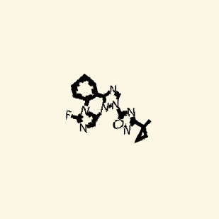 CC1(c2noc(N3C=NC4c5ccccc5-n5c(cnc5F)N43)n2)CC1